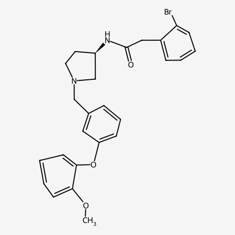 COc1ccccc1Oc1cccc(CN2CC[C@@H](NC(=O)Cc3ccccc3Br)C2)c1